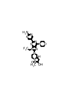 CS1(=O)=C(O)C[C@H]2CN(c3nc4c(N5CCOCC5)nc(-c5cnc(N)nc5)nc4n3CC(F)(F)F)CCN21